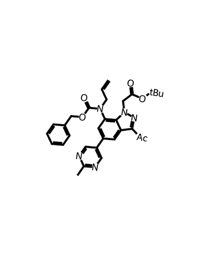 C=CCN(C(=O)OCc1ccccc1)c1cc(-c2cnc(C)nc2)cc2c(C(C)=O)nn(CC(=O)OC(C)(C)C)c12